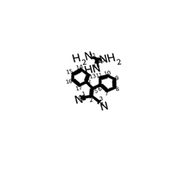 N#CC(C#N)=C(c1ccccc1)c1ccccc1.N=C(N)N